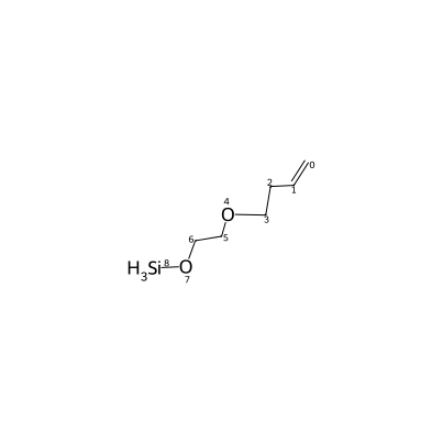 C=CCCOCCO[SiH3]